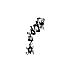 COc1cc(OC)c(F)c(COc2cnc(Nc3ccc(N4CCC(O)(CN5CCN(C)CC5)CC4)c(C)c3)nc2)c1F